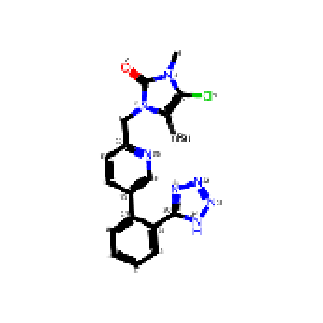 CCCCc1c(Cl)n(C)c(=O)n1Cc1ccc(-c2ccccc2-c2nnn[nH]2)cn1